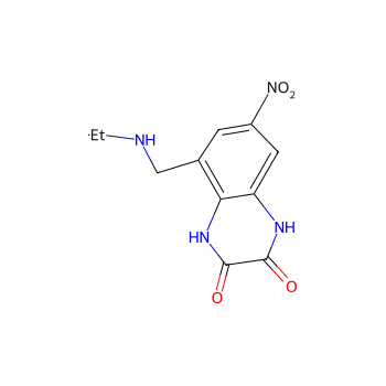 C[CH]NCc1cc([N+](=O)[O-])cc2[nH]c(=O)c(=O)[nH]c12